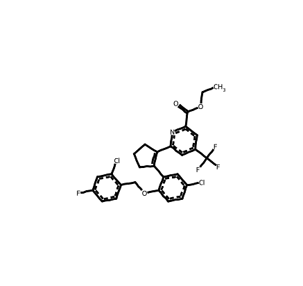 CCOC(=O)c1cc(C(F)(F)F)cc(C2=C(c3cc(Cl)ccc3OCc3ccc(F)cc3Cl)CCC2)n1